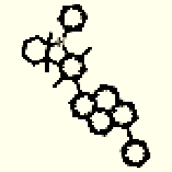 Cc1cc(-c2ccc3ccc4c(-c5ccccc5)ccc5ccc2c3c54)c(C)c2c1N(c1ccccc1)C1(C)CCCCC21C